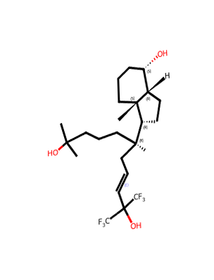 CC(C)(O)CCC[C@](C)(C/C=C/C(O)(C(F)(F)F)C(F)(F)F)[C@H]1CC[C@H]2[C@@H](O)CCC[C@@]12C